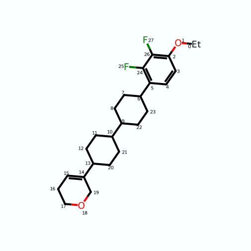 CCOc1ccc(C2CCC(C3CCC(C4=CCCOC4)CC3)CC2)c(F)c1F